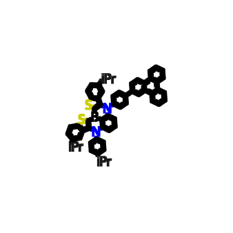 CC(C)c1ccc(N2c3cccc4c3B(c3sc5ccc(C(C)C)cc5c3N4c3ccc(-c4ccc5c6ccccc6c6ccccc6c5c4)cc3)c3sc4ccc(C(C)C)cc4c32)cc1